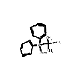 CC(C)(C)[Si]([SnH])(c1ccccc1)c1ccccc1